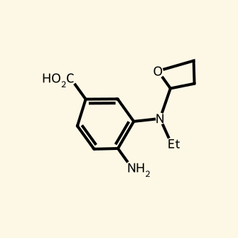 CCN(c1cc(C(=O)O)ccc1N)C1CCO1